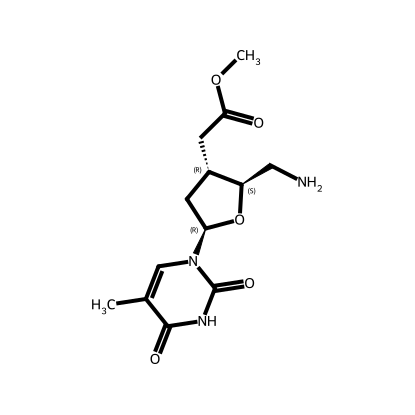 COC(=O)C[C@H]1C[C@H](n2cc(C)c(=O)[nH]c2=O)O[C@@H]1CN